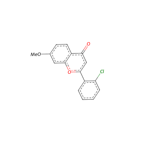 COc1ccc2c(=O)cc(-c3ccccc3Cl)oc2c1